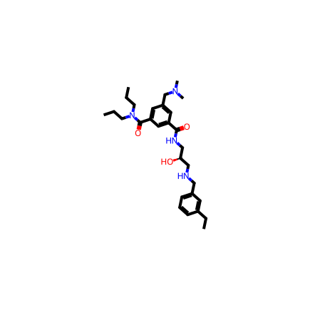 CCCN(CCC)C(=O)c1cc(CN(C)C)cc(C(=O)NC[C@H](O)CNCc2cccc(CC)c2)c1